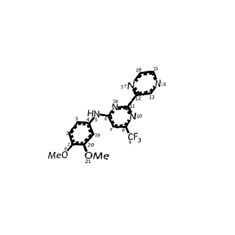 COc1ccc(Nc2cc(C(F)(F)F)nc(-c3cnccn3)n2)cc1OC